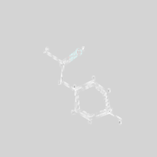 [CH2]C(=O)Cc1ccc(C)cc1